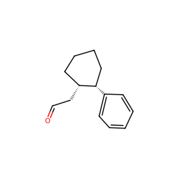 O=CC[C@@H]1CCCC[C@@H]1c1ccccc1